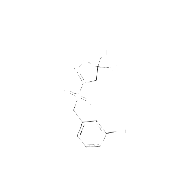 Cc1cccc(CS(=O)(=O)C2=NOC(C)(C)C2)c1